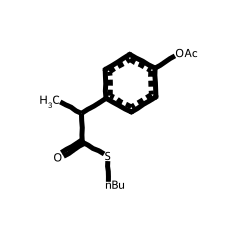 CCCCSC(=O)C(C)c1ccc(OC(C)=O)cc1